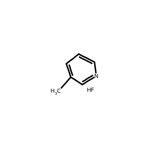 Cc1cccnc1.F